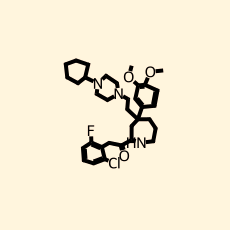 COc1ccc(C2(CCN3CCN(C4CCCCC4)CC3)CCCNC(C(=O)Cc3c(F)cccc3Cl)C2)cc1OC